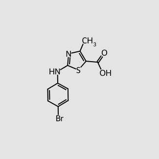 Cc1nc(Nc2ccc(Br)cc2)sc1C(=O)O